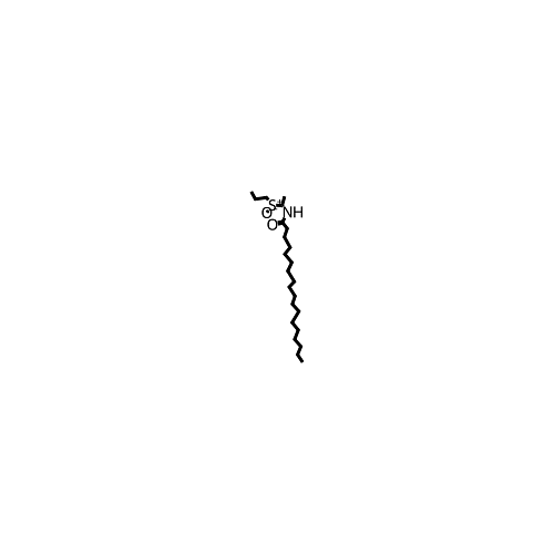 CCCCCCCCCCCCCCCCCC(=O)NC(C)[S+]([O-])CCC